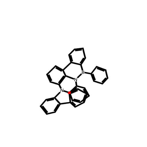 c1ccc(B2c3ccccc3-c3cccc(-n4c5ccccc5c5ccccc54)c3N2c2ccccc2)cc1